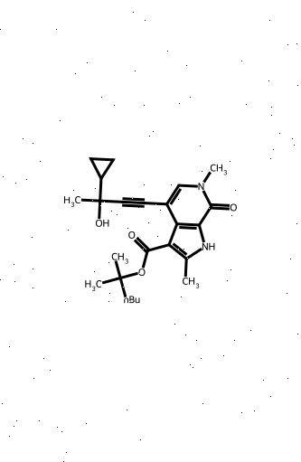 CCCCC(C)(C)OC(=O)c1c(C)[nH]c2c(=O)n(C)cc(C#CC(C)(O)C3CC3)c12